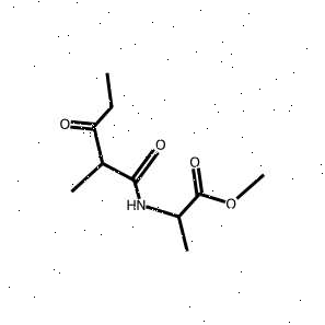 CCC(=O)C(C)C(=O)NC(C)C(=O)OC